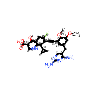 COc1cc(Cc2cnc(N)nc2N)cc(C#Cc2c(F)cc3c(=O)c(C(=O)O)c[nH]c3c2C2CC2)c1OC